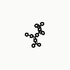 c1ccc(-c2ccc(N(c3ccc(N(c4ccccc4)c4ccccc4)cc3)c3ccc(-n4c5ccccc5c5cc6c(cc54)c4ccccc4n6-c4ccccc4)cc3)cc2)cc1